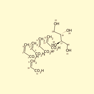 C=CC(=O)O.C=CC(=O)O.C=CC(=O)O.C=CC(=O)O.C=CC(=O)O.OC[C@@H](O)[C@@H](O)CO